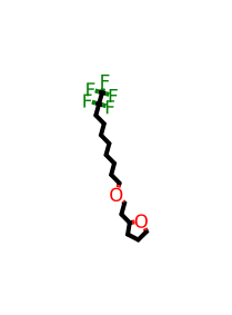 FC(F)(F)C(F)(F)CCCCCCCCOCCC1CCCO1